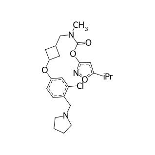 CC(C)c1cc(OC(=O)N(C)CC2CC(Oc3ccc(CN4CCCC4)c(Cl)c3)C2)no1